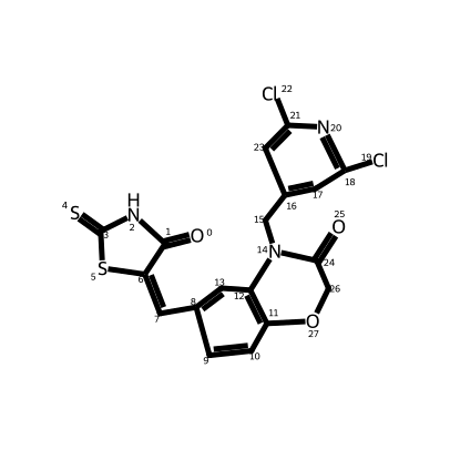 O=C1NC(=S)SC1=Cc1ccc2c(c1)N(Cc1cc(Cl)nc(Cl)c1)C(=O)CO2